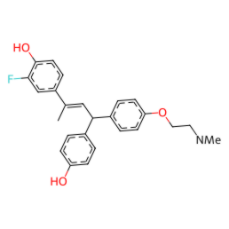 CNCCOc1ccc(C(/C=C(\C)c2ccc(O)c(F)c2)c2ccc(O)cc2)cc1